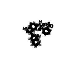 CS(=O)(=O)c1ccccc1S(=O)(=O)Nc1ccc2[nH]nc(-c3cc4cccnc4[nH]3)c2c1